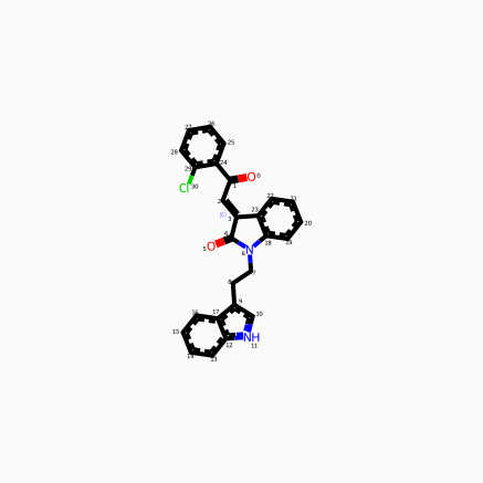 O=C(/C=C1/C(=O)N(CCc2c[nH]c3ccccc23)c2ccccc21)c1ccccc1Cl